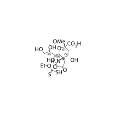 CCOC(=S)S.CO[C@@]1(C(=O)O)C[C@H](O)[C@](N)(CC(=O)Cl)[C@H]([C@H](O)[C@H](O)CO)O1